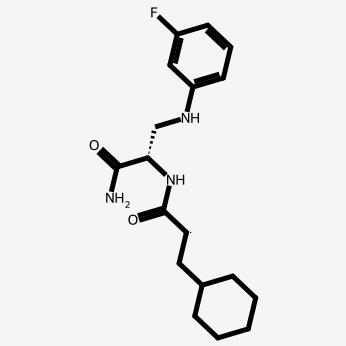 NC(=O)[C@H](CNc1cccc(F)c1)NC(=O)[CH]CC1CCCCC1